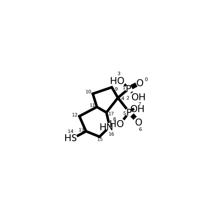 O=P(O)(O)C1(P(=O)(O)O)CCC2CC(S)CNC21